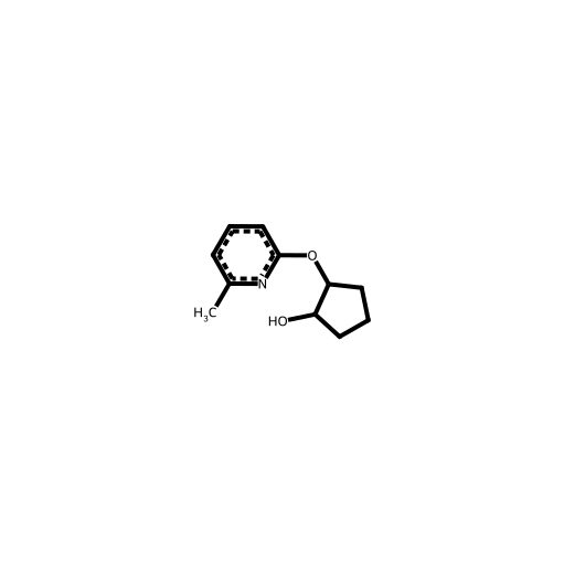 Cc1cccc(OC2CCCC2O)n1